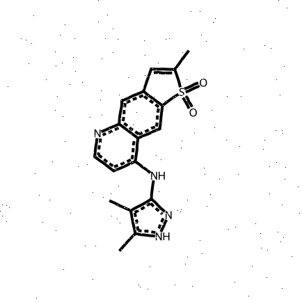 CC1=Cc2cc3nccc(Nc4n[nH]c(C)c4C)c3cc2S1(=O)=O